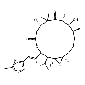 C/C(=C\c1csc(C)n1)[C@H]1OC(=O)C[C@H](O)C(C)(C)C(=O)[C@H](C)[C@@H](O)[C@@H](C)CCC[C@@]2(C)O[C@H]2C1N(C)C